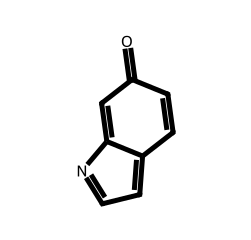 O=C1C=CC2=CC=NC2=C1